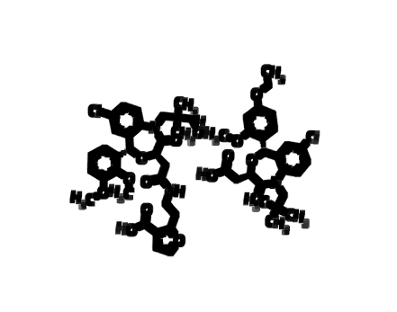 CCOc1ccc([C@H]2O[C@H](CC(=O)O)C(=O)N(CC(C)(C)C)c3ccc(Cl)cc32)c(OC)c1.COc1cccc([C@H]2O[C@H](CC(=O)NCCc3occc3C(=O)O)C(=O)N(CC(C)(C)CO)c3ccc(Cl)cc32)c1OC